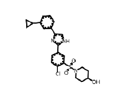 O=S(=O)(c1cc(-c2nc(-c3cccc(C4CC4)c3)c[nH]2)ccc1Cl)N1CCC(O)CC1